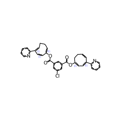 O=C(OC1=C/CC/C=C(c2ccccn2)/C=C\1)c1cc(Cl)cc(C(=O)O/C2=C/C=C(/c3ccccn3)C=CCC2)c1